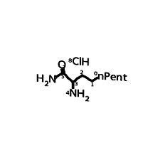 CCCCCCCC(N)C(N)=O.Cl